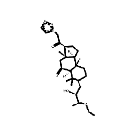 CCO[C@@H](C)[C@@H](O)C[C@@H]1CC[C@@H]2[C@H](C(=O)C[C@]3(C)[C@@H](C(=O)Cn4ccnn4)CC[C@@H]23)C1(C)C